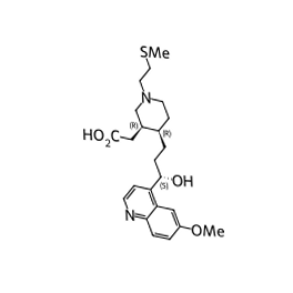 COc1ccc2nccc([C@@H](O)CC[C@@H]3CCN(CCSC)C[C@@H]3CC(=O)O)c2c1